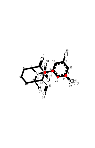 COCCN1C(=O)C2CCC[C@@H]([C@H]1C=O)N2S(=O)(=O)c1cc(Cl)cc(Cl)c1